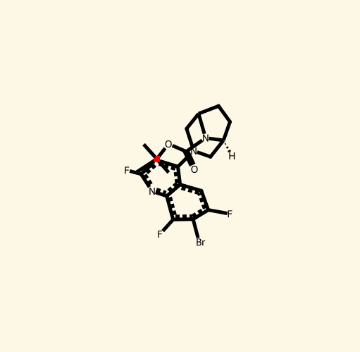 CC(C)(C)OC(=O)N1C2CC[C@H]1CN(c1nc(F)nc3c(F)c(Br)c(F)cc13)C2